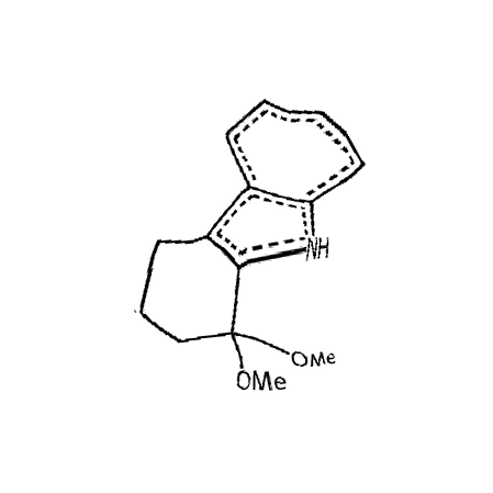 COC1(OC)C[CH]Cc2c1[nH]c1ccccc21